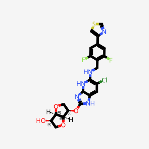 O[C@@H]1CO[C@H]2[C@@H]1OC[C@H]2OC1=NC2NC(NCc3c(F)cc(-c4cscn4)cc3F)=C(Cl)C=C2N1